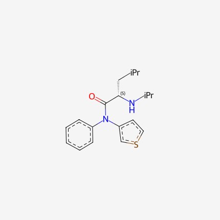 CC(C)C[C@H](NC(C)C)C(=O)N(c1ccccc1)c1ccsc1